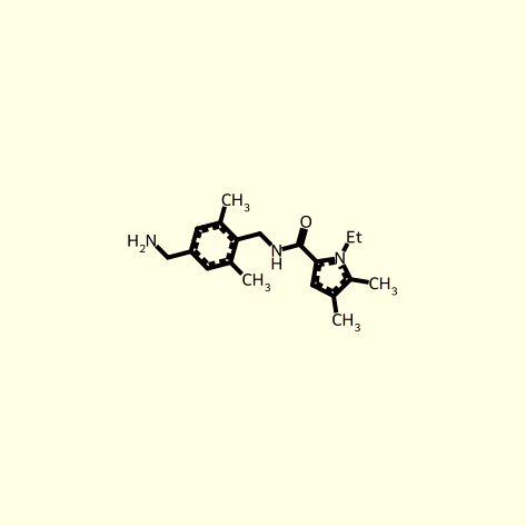 CCn1c(C(=O)NCc2c(C)cc(CN)cc2C)cc(C)c1C